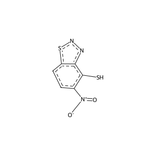 O=[N+]([O-])c1ccc2snnc2c1S